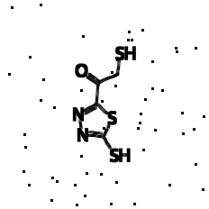 O=C(CS)c1nnc(S)s1